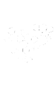 C=Cc1ccccc1C(CC)/C(C)=C\C(=C)N(c1cc2c(cc1C)C(C)(C)CCC2(C)C)c1cc2c(c(-c3cccc(C)c3Nc3ccccc3C)c1S)S/C=C\C=C/C2=C